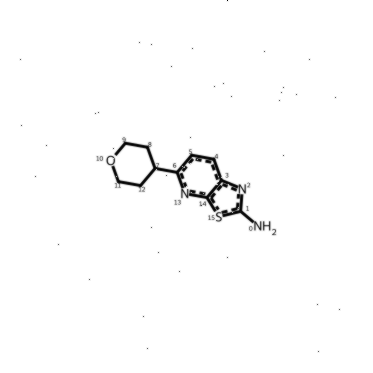 Nc1nc2ccc(C3CCOCC3)nc2s1